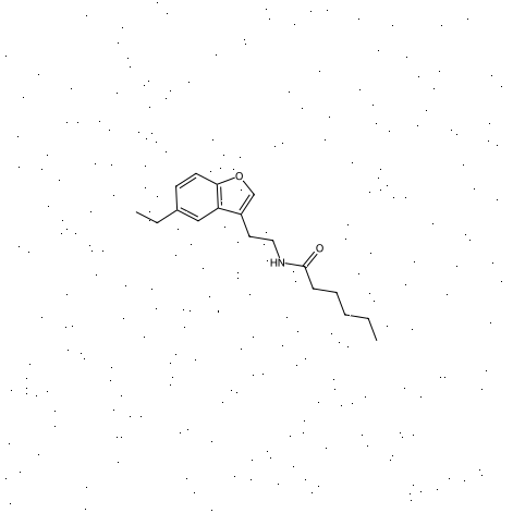 CCCCCC(=O)NCCc1coc2ccc(CC)cc12